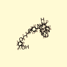 [CH]c1ccc(OCCCCCOc2ccc(-c3nc(NC(C)c4ccncc4)sc3CN3CCOCC3)cc2)cc1O